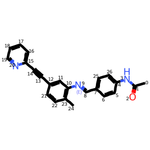 CC(=O)Nc1ccc(/C=N/c2cc(C#Cc3ccccn3)ccc2C)cc1